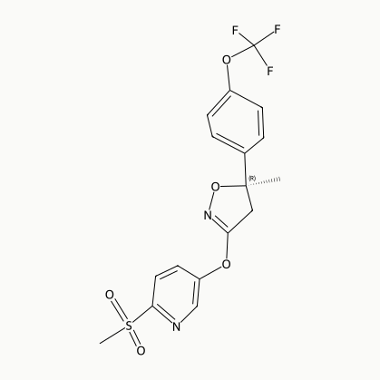 C[C@]1(c2ccc(OC(F)(F)F)cc2)CC(Oc2ccc(S(C)(=O)=O)nc2)=NO1